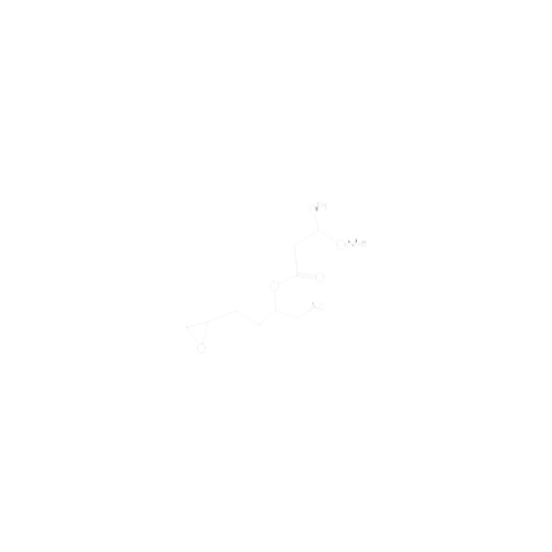 CCCC(CC(=O)OC(CCC1CO1)CC(C)=O)OC